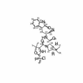 CC(C)(C)[C@H](NC(=O)C(F)(F)Cl)C(=O)N1C[C@H]2[C@@H]([C@H]1C(=O)N[C@H](C#N)CC1=c3ccccc3=NC1=O)C2(C)C